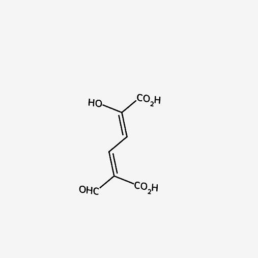 O=CC(=CC=C(O)C(=O)O)C(=O)O